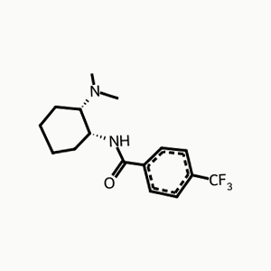 CN(C)[C@H]1CCCC[C@H]1NC(=O)c1ccc(C(F)(F)F)cc1